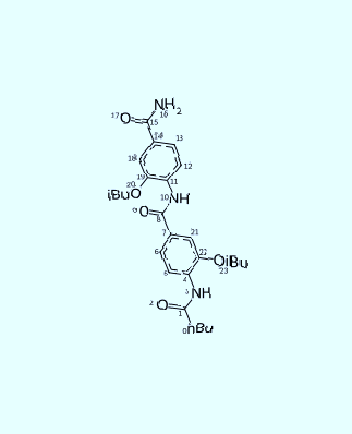 CCCCC(=O)Nc1ccc(C(=O)Nc2ccc(C(N)=O)cc2OCC(C)C)cc1OCC(C)C